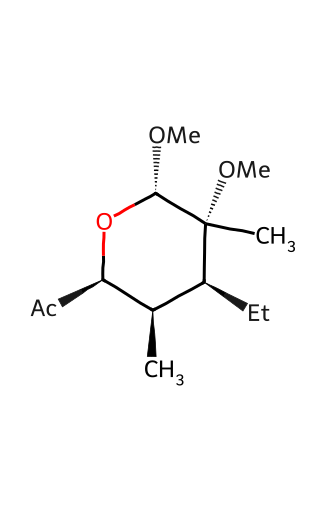 CC[C@H]1[C@@H](C)[C@@H](C(C)=O)O[C@H](OC)[C@]1(C)OC